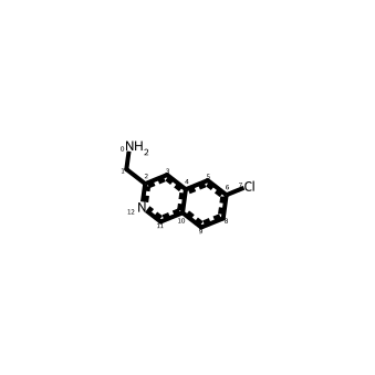 NCc1cc2cc(Cl)ccc2cn1